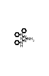 Nc1nc(Nc2ccccc2)nc(N(c2ccccc2)c2ccccc2)n1